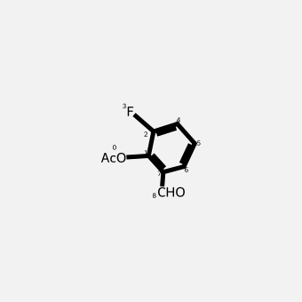 [CH2]C(=O)Oc1c(F)cccc1C=O